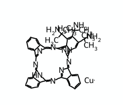 CC(C)(N)c1cc2c3nc4nc(nc5[nH]c(nc6nc(nc([nH]3)c2c(C(C)(C)N)c1C(C)(C)N)-c1ccccc1-6)c1ccccc51)-c1ccccc1-4.[Cu]